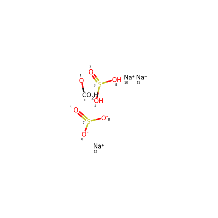 O=C([O-])O.O=S(O)O.O=S([O-])[O-].[Na+].[Na+].[Na+]